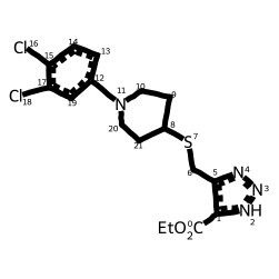 CCOC(=O)c1[nH]nnc1CSC1CCN(c2ccc(Cl)c(Cl)c2)CC1